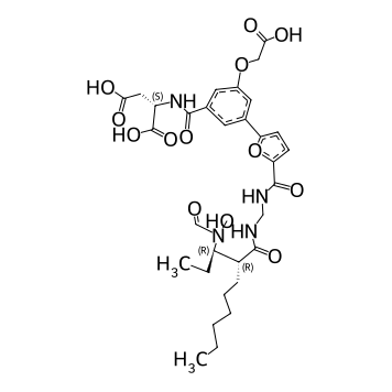 CCCCCC[C@@H](C(=O)NCNC(=O)c1ccc(-c2cc(OCC(=O)O)cc(C(=O)N[C@@H](CC(=O)O)C(=O)O)c2)o1)[C@@H](CC)N(O)C=O